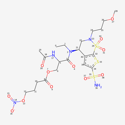 CCN(C(=O)C(COC(=O)CCCO[N+](=O)[O-])NC(C)=O)[C@H]1CN(CCCOC)S(=O)(=O)c2sc(S(N)(=O)=O)cc21